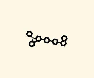 c1ccc(-n2c3ccccc3c3cc(-c4ccc(-c5ccc(-c6cccc7ccccc67)cc5)cc4)ccc32)cc1